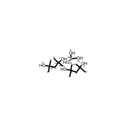 CC(C)(O)CC(C)(C)O.CC(C)(O)CC(C)(C)O.OB(O)O